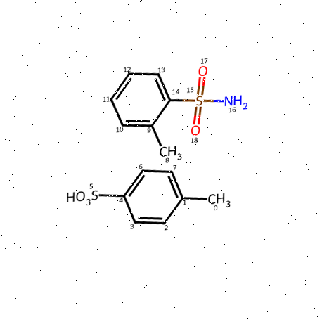 Cc1ccc(S(=O)(=O)O)cc1.Cc1ccccc1S(N)(=O)=O